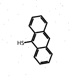 Sc1c2ccccc2cc2ccccc12